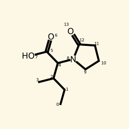 CCC(C)C(C(=O)O)N1CCCC1=O